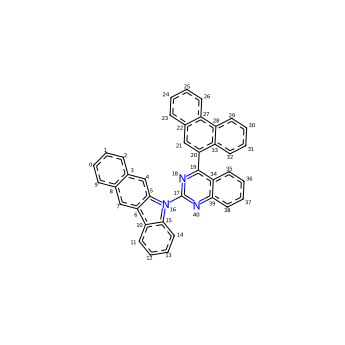 c1ccc2cc3c(cc2c1)c1ccccc1n3-c1nc(-c2cc3ccccc3c3ccccc23)c2ccccc2n1